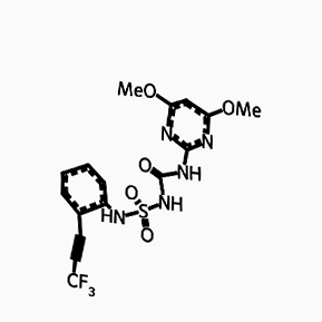 COc1cc(OC)nc(NC(=O)NS(=O)(=O)Nc2ccccc2C#CC(F)(F)F)n1